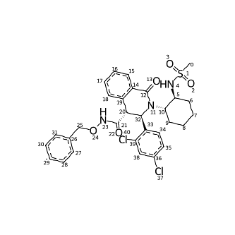 CS(=O)(=O)N[C@H]1CCCC[C@@H]1N1C(=O)c2ccccc2[C@@H](C(=O)NOCc2cc[c]cc2)[C@@H]1c1ccc(Cl)cc1Cl